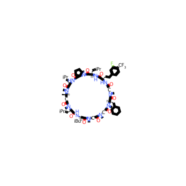 CC[C@H](C)[C@@H]1NC(=O)[C@H](CC(C)C)N(C)C(=O)C[C@@H](C)N(C)C(=O)[C@H](CC(C)C)NC(=O)C2(CCCC2)N(C)C(=O)[C@H](CC(C)C)NC(=O)[C@H](CCc2ccc(C(F)(F)F)c(F)c2)NC(=O)CN(C)C(=O)[C@H](CC2CCCCC2)N(C)C(=O)CN(C)C(=O)CN(C)C1=O